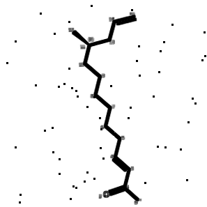 [CH2]C(=O)C=CCCCCCC[C@@H](C)CC=C